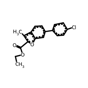 CCOC(=O)c1oc2cc(-c3ccc(Cl)cc3)ccc2c1C